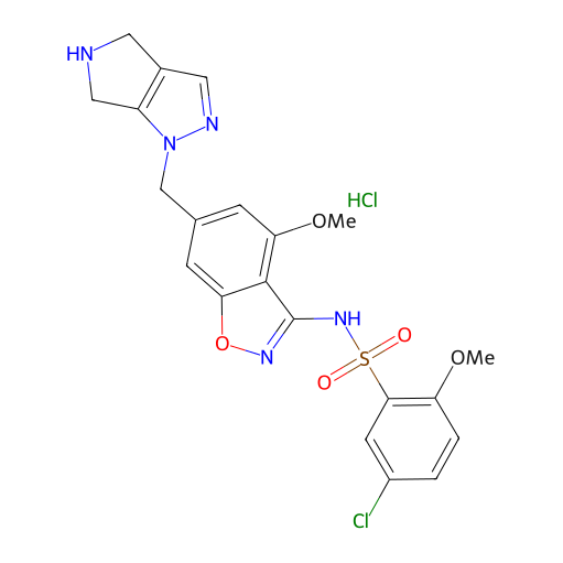 COc1ccc(Cl)cc1S(=O)(=O)Nc1noc2cc(Cn3ncc4c3CNC4)cc(OC)c12.Cl